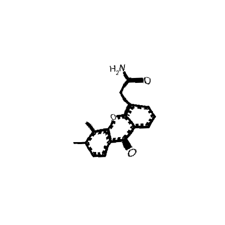 Cc1ccc2c(=O)c3cccc(CC(N)=O)c3oc2c1C